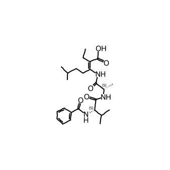 CCC(C(=O)O)=C(CCC(C)C)NC(=O)[C@H](C)NC(=O)[C@@H](NC(=O)c1ccccc1)C(C)C